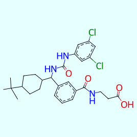 CC(C)(C)C1CCC(C(NC(=O)Nc2cc(Cl)cc(Cl)c2)c2cccc(C(=O)NCCC(=O)O)c2)CC1